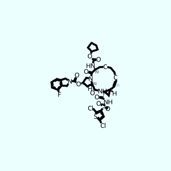 O=C(N[C@H]1CCCCC/C=C\[C@@H]2C[C@@]2(C(=O)NS(=O)(=O)c2cc(Cl)sc2Cl)NC(=O)[C@@H]2C[C@@H](OC(=O)N3Cc4cccc(F)c4C3)CN2C1=O)OC1CCCC1